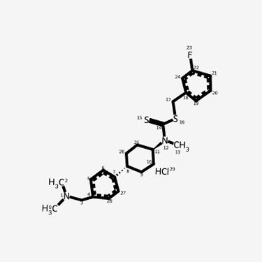 CN(C)Cc1ccc([C@H]2CC[C@H](N(C)C(=S)SCc3cccc(F)c3)CC2)cc1.Cl